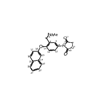 CNCc1cc(N2C(=O)COC2=O)ccc1Oc1ccc2ccccc2c1